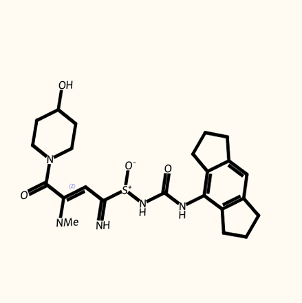 CN/C(=C\C(=N)[S+]([O-])NC(=O)Nc1c2c(cc3c1CCC3)CCC2)C(=O)N1CCC(O)CC1